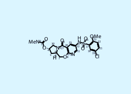 CNC(=O)O[C@H]1C[C@@H]2COc3ncc(NS(=O)(=O)c4cc(Cl)ccc4OC)cc3C(=O)N2C1